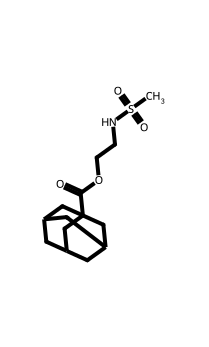 CS(=O)(=O)NCCOC(=O)C12CC3CC(CC(C3)C1)C2